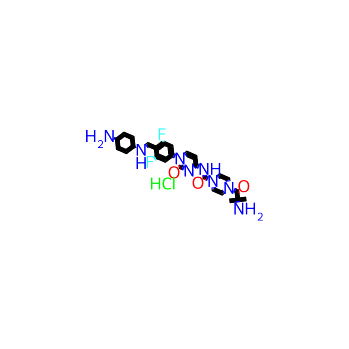 CC(C)(N)C(=O)N1CCN(C(=O)Nc2ccn(-c3cc(F)c(CN[C@H]4CC[C@H](N)CC4)c(F)c3)c(=O)n2)CC1.Cl